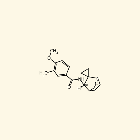 COc1ccc(C(=O)N[C@H]2C3CCN(CC3)C23CC3)cc1C